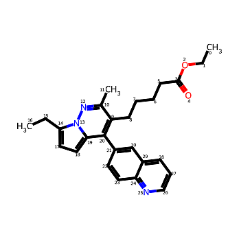 CCOC(=O)CCCCc1c(C)nn2c(CC)ccc2c1-c1ccc2ncccc2c1